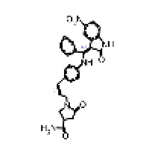 NC(=O)C1CC(=O)N(C/C=C\c2ccc(N/C(=C3\C(=O)Nc4ccc([N+](=O)[O-])cc43)c3ccccc3)cc2)C1